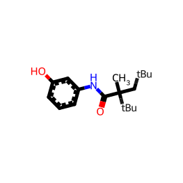 CC(C)(C)CC(C)(C(=O)Nc1cccc(O)c1)C(C)(C)C